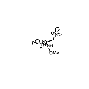 COCCCNc1nc(Nc2cccc(F)c2)ncc1C#CCCCN1C(=O)c2ccccc2C1=O